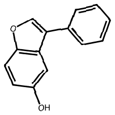 Oc1ccc2occ(-c3ccccc3)c2c1